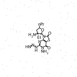 CCCC1C[C@@](N)(CC)[C@H](n2c(=O)sc3c(=O)n(N)c(NN=N)nc32)O1